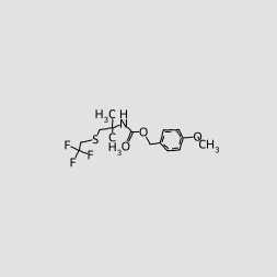 COc1ccc(COC(=O)NC(C)(C)CSCC(F)(F)F)cc1